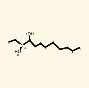 CCCCCCCCC(O)N(O)CC